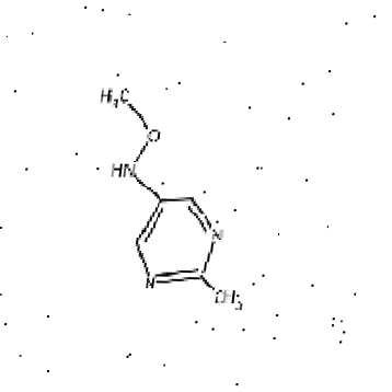 CONc1cnc(C)nc1